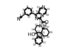 N#Cc1cccc(-c2nc(C(=O)N3CCC(O)(c4ccccc4)[C@H]4CCCC[C@H]43)n3ccncc23)c1